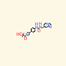 CC(C)(O)C(=O)N1CC(c2ccc(NC(=O)NCc3ccn4ccnc4c3)cc2)C1